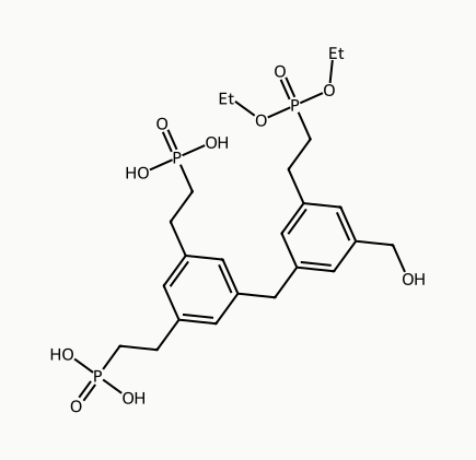 CCOP(=O)(CCc1cc(CO)cc(Cc2cc(CCP(=O)(O)O)cc(CCP(=O)(O)O)c2)c1)OCC